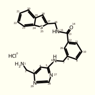 Cl.NCc1cc(NCc2cccc(C(=O)NCc3cc4ccccc4s3)c2)ncn1